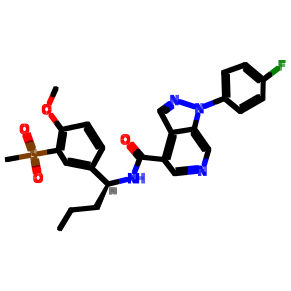 CCC[C@H](NC(=O)c1cncc2c1cnn2-c1ccc(F)cc1)c1ccc(OC)c(S(C)(=O)=O)c1